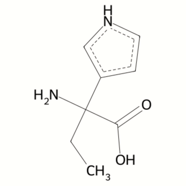 CCC(N)(C(=O)O)c1cc[nH]c1